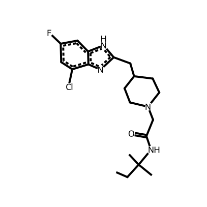 CCC(C)(C)NC(=O)CN1CCC(Cc2nc3c(Cl)cc(F)cc3[nH]2)CC1